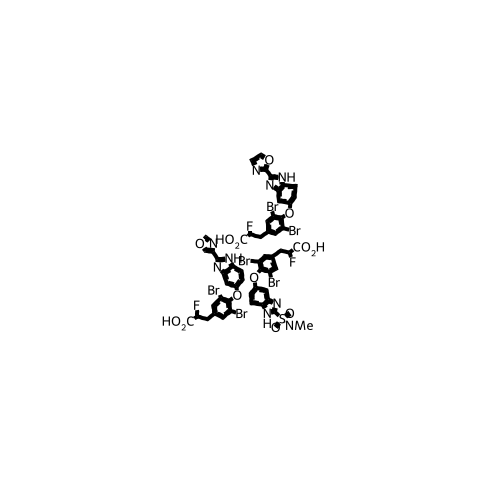 CNS(=O)(=O)c1nc2cc(Oc3c(Br)cc(CC(F)C(=O)O)cc3Br)ccc2[nH]1.O=C(O)C(F)Cc1cc(Br)c(Oc2ccc3[nH]c(-c4cocn4)nc3c2)c(Br)c1.O=C(O)C(F)Cc1cc(Br)c(Oc2ccc3[nH]c(-c4ncco4)nc3c2)c(Br)c1